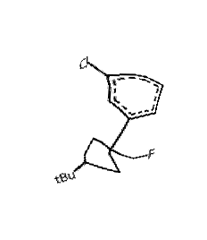 CC(C)(C)C1CC(F)(c2cccc(Cl)c2)C1